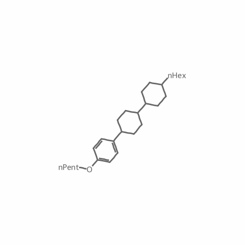 CCCCCCC1CCC(C2CCC(c3ccc(OCCCCC)cc3)CC2)CC1